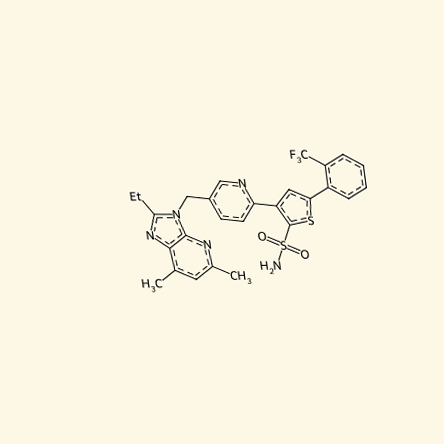 CCc1nc2c(C)cc(C)nc2n1Cc1ccc(-c2cc(-c3ccccc3C(F)(F)F)sc2S(N)(=O)=O)nc1